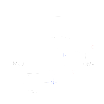 COC(=O)C1CC2(CCCCC2)CN1C(=O)c1cc2c(OC)cccc2[nH]1